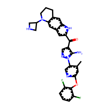 Cc1cc(Oc2c(F)cccc2F)ncc1-n1ncc(C(=O)c2cc3cc4c(cc3[nH]2)CCCN4C2CNC2)c1N